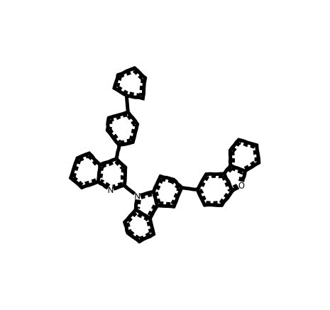 c1ccc(-c2ccc(-c3cc(-n4c5ccccc5c5cc(-c6ccc7oc8ccccc8c7c6)ccc54)nc4ccccc34)cc2)cc1